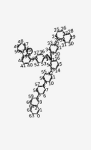 C1=Cc2cc(-c3ccc(-c4ccc(-c5cccc(N(c6ccc(-c7cccc8ccccc78)cc6)c6ccc(-c7cccc8c7oc7ccccc78)cc6)c5)cc4)cc3)ccc2CC1